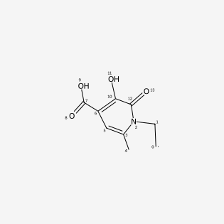 [CH2]Cn1c(C)cc(C(=O)O)c(O)c1=O